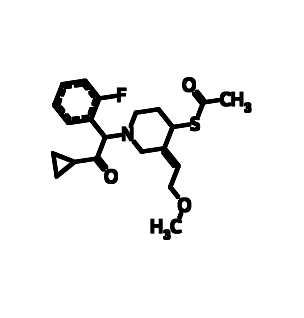 COC/C=C1\CN(C(C(=O)C2CC2)c2ccccc2F)CCC1SC(C)=O